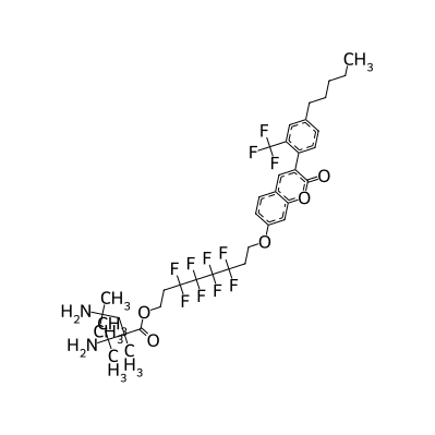 CCCCCc1ccc(-c2cc3ccc(OCCC(F)(F)C(F)(F)C(F)(F)C(F)(F)CCOC(=O)C(C)(CC(C)(C)N)C(C)(C)N)cc3oc2=O)c(C(F)(F)F)c1